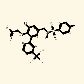 CN(Cc1cc(F)c(OCC(=O)O)c(-c2cccc(C(F)(F)F)c2)c1)S(=O)(=O)c1ccc(F)cc1